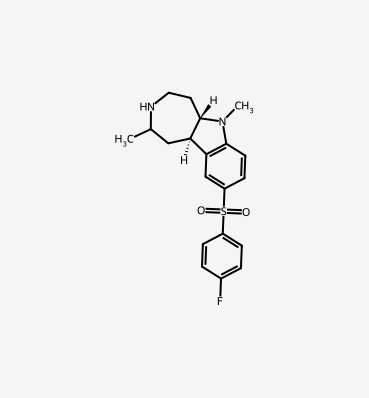 CC1C[C@@H]2c3cc(S(=O)(=O)c4ccc(F)cc4)ccc3N(C)[C@H]2CCN1